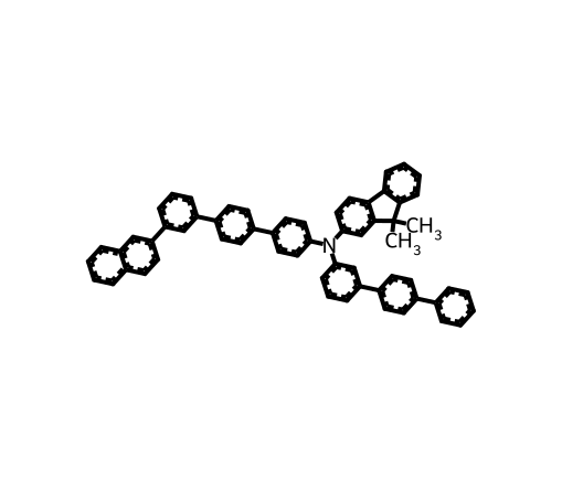 CC1(C)c2ccccc2-c2ccc(N(c3ccc(-c4ccc(-c5cccc(-c6ccc7ccccc7c6)c5)cc4)cc3)c3cccc(-c4ccc(-c5ccccc5)cc4)c3)cc21